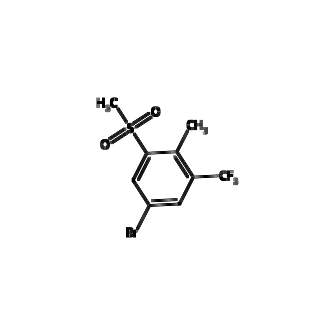 Cc1c(C(F)(F)F)cc(Br)cc1S(C)(=O)=O